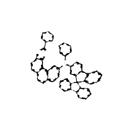 c1ccc(-c2nc3ccc4ccc5ccc(N(c6ccccc6)c6ccc7c(c6)C6(c8ccccc8-c8ccccc86)c6ccccc6-7)cc5c4c3o2)cc1